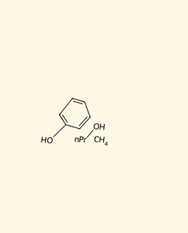 C.CCCO.Oc1ccccc1